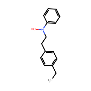 CCc1ccc(CCN(O)c2ccccc2)cc1